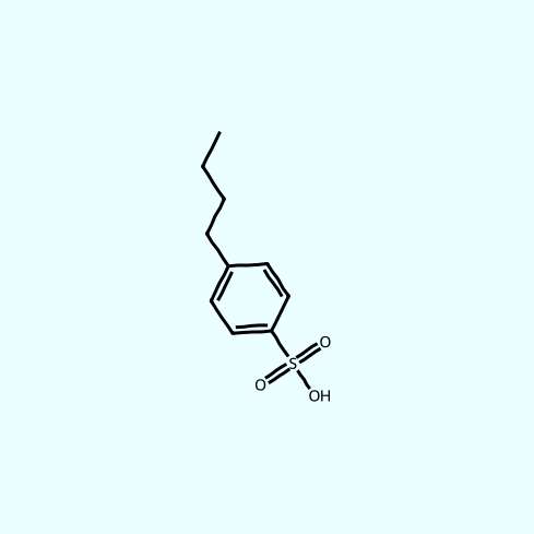 CCCCc1ccc(S(=O)(=O)O)cc1